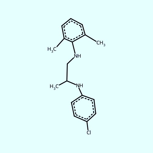 Cc1cccc(C)c1NCC(C)Nc1ccc(Cl)cc1